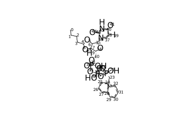 CCCCC1OC2[C@@H](O1)[C@@H](COP(=O)(O)OP(=O)(O)OP(=O)(O)Cc1cccc3ccccc13)O[C@H]2n1cc(I)c(=O)[nH]c1=O